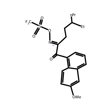 CCCC(CC)CC/C(=N\OS(=O)(=O)C(F)(F)F)C(=O)c1cccc2cc(OC)ccc12